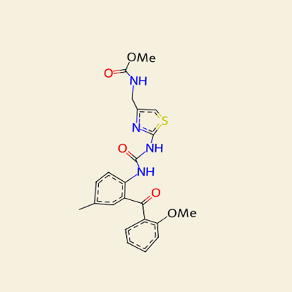 COC(=O)NCc1csc(NC(=O)Nc2ccc(C)cc2C(=O)c2ccccc2OC)n1